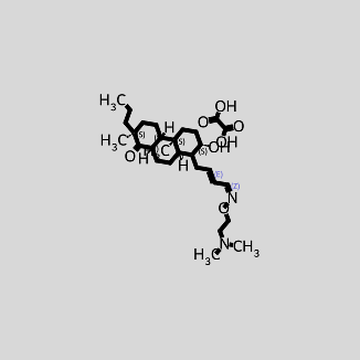 CCC[C@@]1(C)CC[C@H]2[C@@H](CC[C@@H]3C(C/C=C/C=N\OCCN(C)C)[C@@H](O)CC[C@@]32C)C1=O.O=C(O)C(=O)O